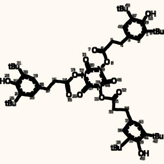 CC(C)(C)c1cc(CCC(=O)On2c(=O)n(OC(=O)CCc3cc(C(C)(C)C)c(O)c(C(C)(C)C)c3)c(=O)n(OC(=O)CCc3cc(C(C)(C)C)c(O)c(C(C)(C)C)c3)c2=O)cc(C(C)(C)C)c1O